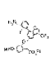 CCOC(=O)Cc1ccc(OC)cc1OCc1cc(-c2cccc(CN)c2F)c2occ(C)c2c1